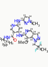 [2H]C([2H])([2H])NC(=O)c1cnc(Nc2ccn(C)n2)cc1Nc1ncc2cnn(CC(C)(F)F)c2c1OC